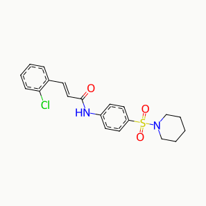 O=C(C=Cc1ccccc1Cl)Nc1ccc(S(=O)(=O)N2CCCCC2)cc1